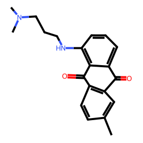 Cc1ccc2c(c1)C(=O)c1cccc(NCCCN(C)C)c1C2=O